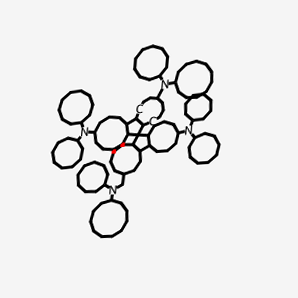 C1CCCCCC(N(CC2CCCCC3C(CC2)C2CCCC(N(C4CCCCCCCC4)C4CCCCCCC4)CCCC2C32C3CCCCC(N(C4CCCCCCCCCC4)C4CCCCCCCCC4)CCCC3C3CCCC(N(C4CCCCCCCCC4)C4CCCCCCCC4)CCCCC32)C2CCCCCCCC2)CCCC1